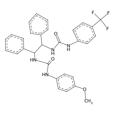 COc1ccc(NC(=O)NC(c2ccccc2)C(NC(=O)Nc2ccc(C(F)(F)F)cc2)c2ccccc2)cc1